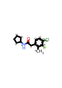 Cc1c(CC(=O)NC2CCCC2)ccc(Cl)c1F